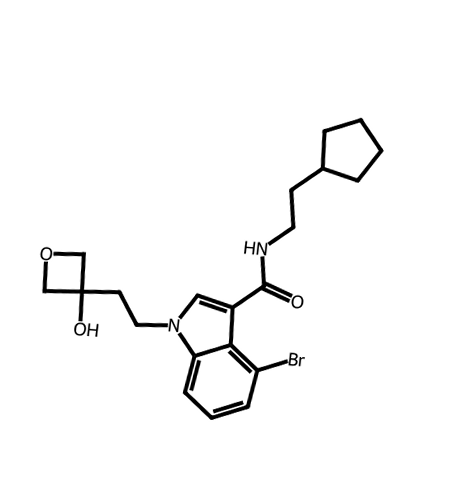 O=C(NCCC1CCCC1)c1cn(CCC2(O)COC2)c2cccc(Br)c12